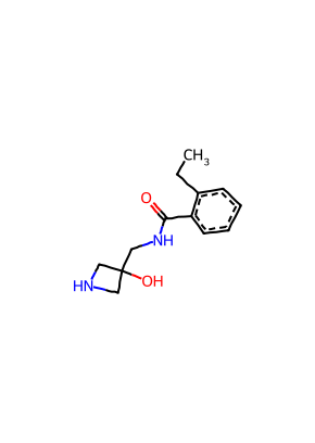 CCc1ccccc1C(=O)NCC1(O)CNC1